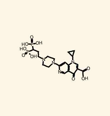 O=C(O)c1cn(C2CC2)c2cc(N3CCN(CCC(P(=O)(O)O)P(=O)(O)O)CC3)ncc2c1=O